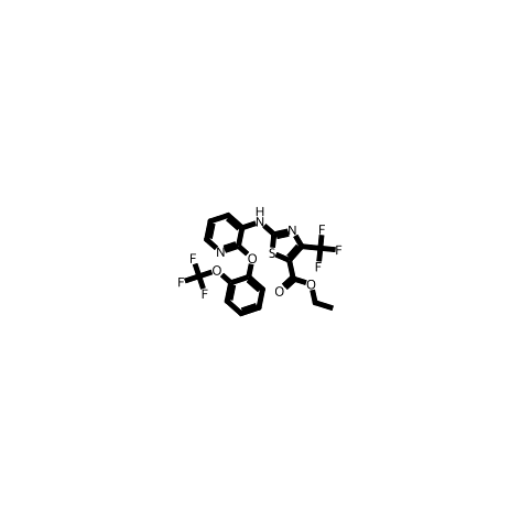 CCOC(=O)c1sc(Nc2cccnc2Oc2ccccc2OC(F)(F)F)nc1C(F)(F)F